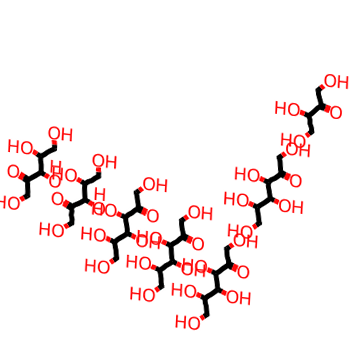 O=C(CO)C(O)C(O)C(O)CO.O=C(CO)C(O)C(O)C(O)CO.O=C(CO)C(O)C(O)C(O)CO.O=C(CO)C(O)C(O)C(O)CO.O=C(CO)C(O)C(O)CO.O=C(CO)C(O)C(O)CO.O=C(CO)C(O)CO